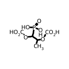 CC(OC(=O)O)C(OC(=O)O)P(=O)(O)O